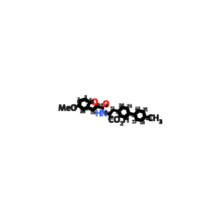 COc1ccc2oc(C(=O)NC(Cc3ccc(-c4ccc(C)cc4)cc3)C(=O)O)cc2c1